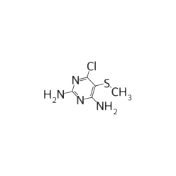 CSc1c(N)nc(N)nc1Cl